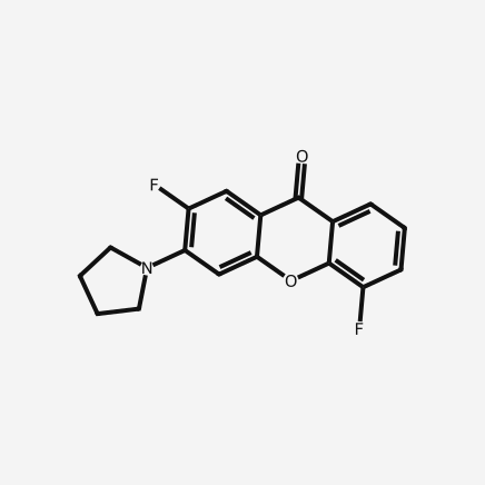 O=c1c2cc(F)c(N3CCCC3)cc2oc2c(F)cccc12